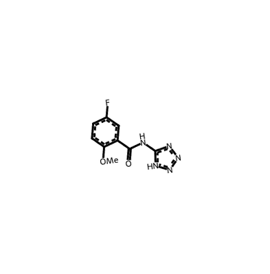 COc1ccc(F)cc1C(=O)Nc1nnn[nH]1